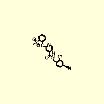 CS(=O)(=O)c1ccccc1Oc1cc(C(=O)NCc2ccc(C#N)cc2Cl)ccn1